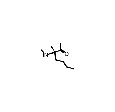 CCCC[C@](C)(NC)C(C)=O